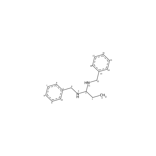 CCC(NCc1ccccc1)NCc1ccccc1